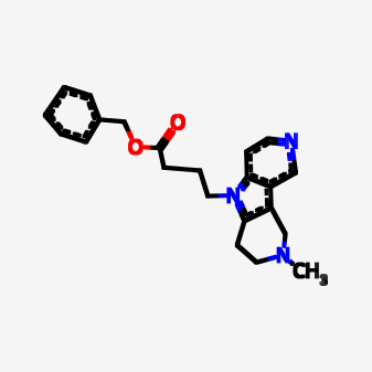 CN1CCc2c(c3cnccc3n2CCCC(=O)OCc2ccccc2)C1